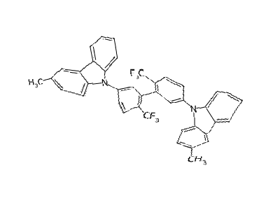 Cc1ccc2c(c1)c1ccccc1n2-c1ccc(C(F)(F)F)c(-c2cc(-n3c4ccccc4c4cc(C)ccc43)ccc2C(F)(F)F)c1